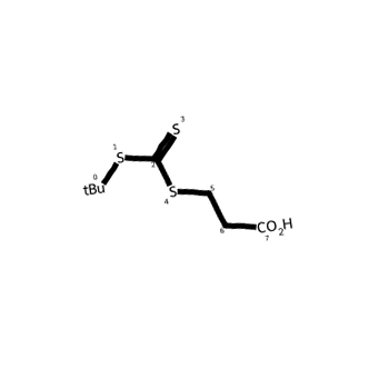 CC(C)(C)SC(=S)SCCC(=O)O